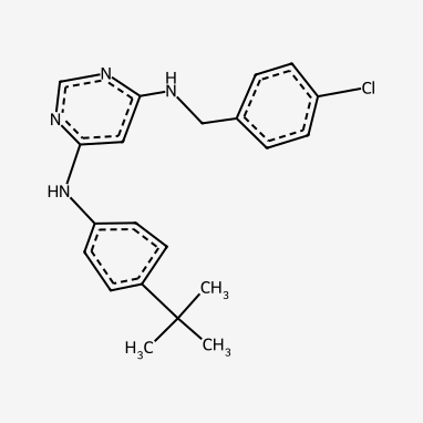 CC(C)(C)c1ccc(Nc2cc(NCc3ccc(Cl)cc3)ncn2)cc1